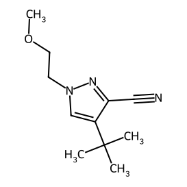 COCCn1cc(C(C)(C)C)c(C#N)n1